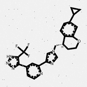 FC(F)(F)c1[nH]nnc1-c1ccnc(-c2cn(C[C@H]3CCOc4cc(C5CC5)ccc43)cn2)c1